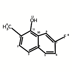 Cc1ccc2ccc(F)cc2c1O